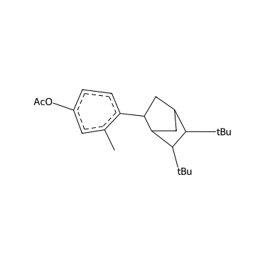 CC(=O)Oc1ccc(C2CC3CC2C(C(C)(C)C)C3C(C)(C)C)c(C)c1